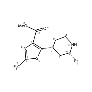 CC[C@@H]1CN(c2sc(C(F)(F)F)nc2C(=O)OC)CCN1